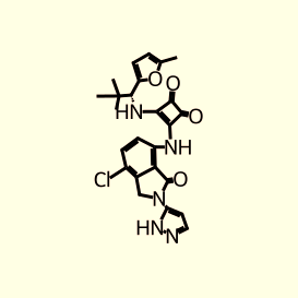 Cc1ccc([C@H](Nc2c(Nc3ccc(Cl)c4c3C(=O)N(c3ccn[nH]3)C4)c(=O)c2=O)C(C)(C)C)o1